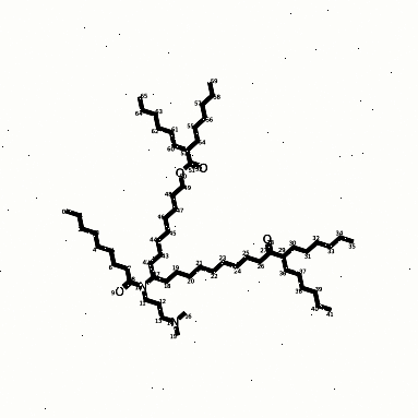 CCCCCCCCC(=O)N(CCCN(C)C)C(CCCCCCCCCC(=O)C(CCCCCC)CCCCCC)CCCCCCCCOC(=O)C(CCCCCC)CCCCCC